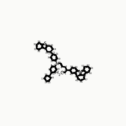 C=CC(C/C=C/N(c1ccc(-c2ccccc2)cc1)c1ccc(C2C=Cc3sc4ccccc4c3C2)cc1)c1ccc2c(c1)c1cccc3c4ccccc4n2c31